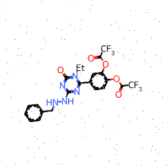 CCn1c(-c2ccc(OC(=O)C(F)(F)F)c(OC(=O)C(F)(F)F)c2)nc(NNCc2ccccc2)nc1=O